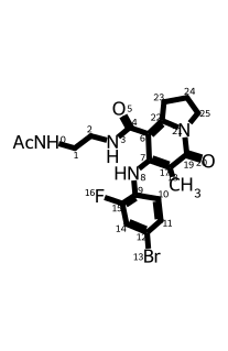 CC(=O)NCCNC(=O)c1c(Nc2ccc(Br)cc2F)c(C)c(=O)n2c1CCC2